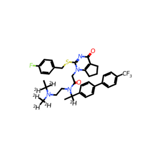 [2H]C([2H])([2H])N(CCN(C(=O)Cn1c(SCc2ccc(F)cc2)nc(=O)c2c1CCC2)C([2H])(C)c1ccc(-c2ccc(C(F)(F)F)cc2)cc1)C([2H])([2H])C